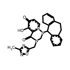 Cc1noc(CN2CN(C3C4=C(C=CCC4)CCc4ccccc43)n3ccc(=O)c(O)c3C2=O)n1